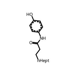 CCCCCCCCCC(=O)Nc1ccc(O)cc1